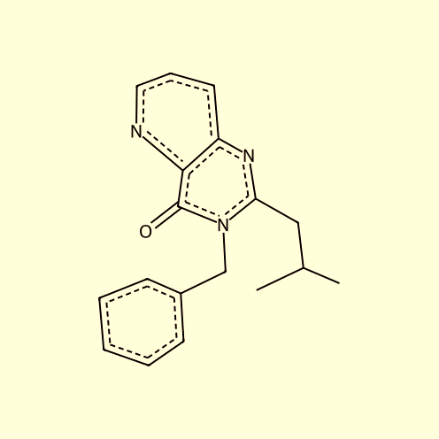 CC(C)Cc1nc2cccnc2c(=O)n1Cc1ccccc1